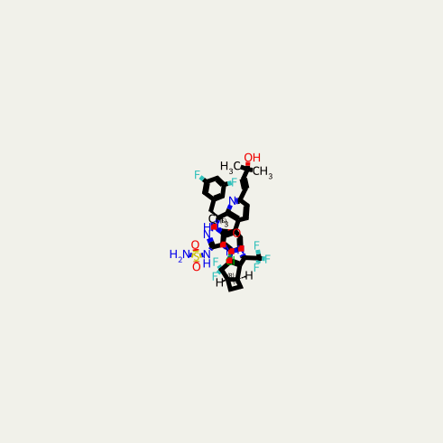 Cn1nc(NS(N)(=O)=O)c2c(Cl)ccc(-c3ccc(C#CC(C)(C)O)nc3[C@H](Cc3cc(F)cc(F)c3)NC(=O)Cn3nc(C(F)(F)F)c4c3C(F)(F)[C@@H]3CC[C@H]43)c21